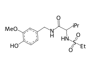 CCS(=O)(=O)NC(C(=O)NCc1ccc(O)c(OC)c1)C(C)C